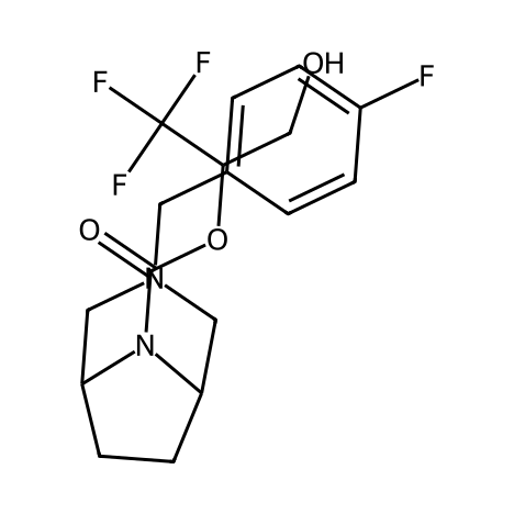 O=C(OC(CO)C(F)(F)F)N1C2CCC1CN(Cc1ccc(F)cc1)C2